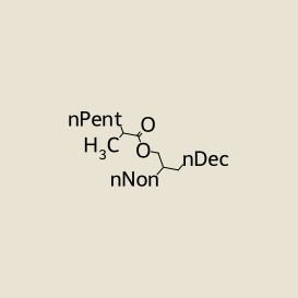 CCCCCCCCCCCC(CCCCCCCCC)COC(=O)C(C)CCCCC